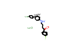 CO[C@]1(c2ccc(Cl)cc2)CC[C@@H](NCCCC(=O)c2ccc(F)cc2)CC1.Cl